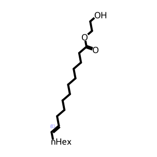 CCCCCC/C=C/CCCCCCCCCC(=O)OCCO